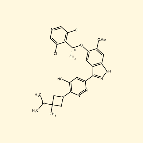 COc1cc2[nH]nc(-c3cc(C#N)c(N4CC(C)(N(C)C)C4)nn3)c2cc1O[C@H](C)c1c(Cl)cncc1Cl